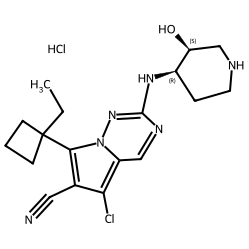 CCC1(c2c(C#N)c(Cl)c3cnc(N[C@@H]4CCNC[C@@H]4O)nn23)CCC1.Cl